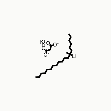 O=C([O-])CC(=O)[O-].[K+].[K+].[Li][C](C)(CCCCCC)CCCCCCCCCCCC